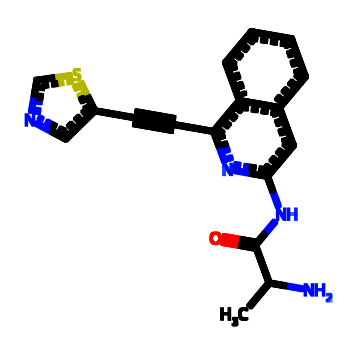 CC(N)C(=O)Nc1cc2ccccc2c(C#Cc2cncs2)n1